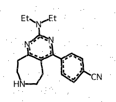 CCN(CC)c1nc2c(c(-c3ccc(C#N)cc3)n1)CCNCC2